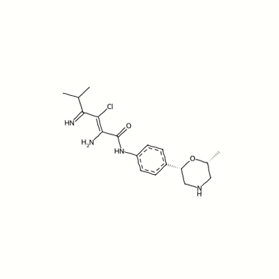 CC(C)C(=N)/C(Cl)=C(\N)C(=O)Nc1ccc([C@H]2CNC[C@@H](C)O2)cc1